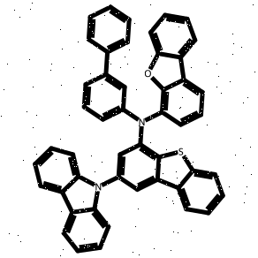 c1ccc(-c2cccc(N(c3cccc4c3oc3ccccc34)c3cc(-n4c5ccccc5c5ccccc54)cc4c3sc3ccccc34)c2)cc1